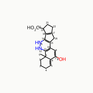 CC12CCCC=C1C(O)=CC1=C2NNC2=C1CC1=C2C(C(=O)O)CC1